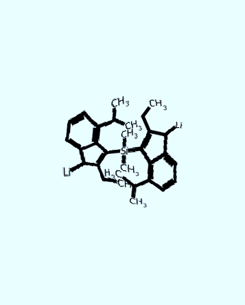 [Li][CH]1C(CC)=C([Si](C)(C)C2=C(CC)[CH]([Li])c3cccc(C(C)C)c32)c2c(C(C)C)cccc21